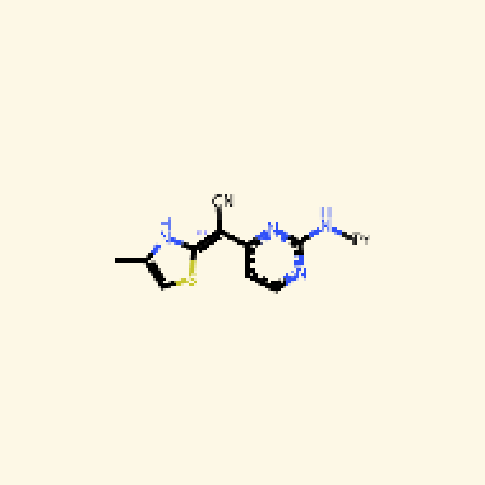 CC1=CS/C(=C(/C#N)c2ccnc(NC(C)C)n2)N1